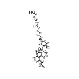 OCCOCCNCCCCCSc1ccc(Cl)c(COC2(c3cnccc3-c3ccccc3OC3CC3)CC2)c1